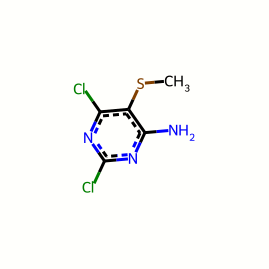 CSc1c(N)nc(Cl)nc1Cl